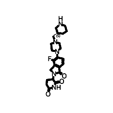 O=C1CCC(N2Cc3c(ccc(N4CCN(C[C@H]5CCCNC5)CC4)c3F)C2=O)C(=O)N1